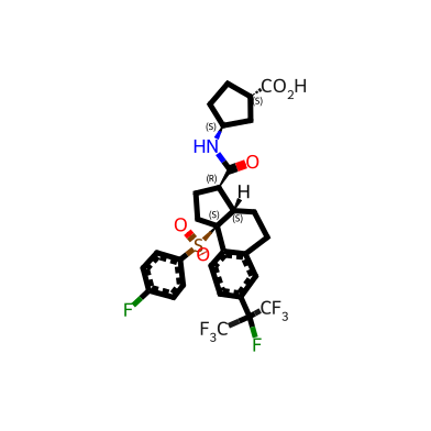 O=C(O)[C@H]1CC[C@H](NC(=O)[C@@H]2CC[C@@]3(S(=O)(=O)c4ccc(F)cc4)c4ccc(C(F)(C(F)(F)F)C(F)(F)F)cc4CC[C@@H]23)C1